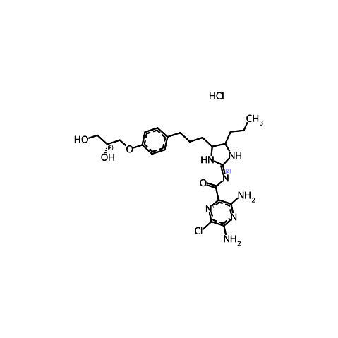 CCCC1N/C(=N/C(=O)c2nc(Cl)c(N)nc2N)NC1CCCc1ccc(OC[C@H](O)CO)cc1.Cl